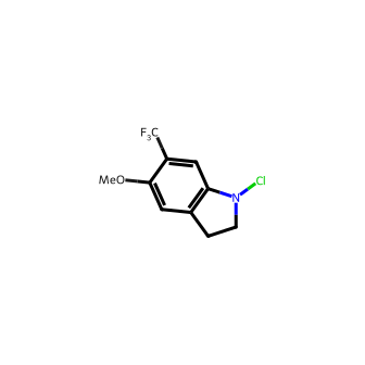 COc1cc2c(cc1C(F)(F)F)N(Cl)CC2